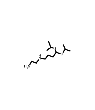 CC(C)O[C](CCCNCCN)OC(C)C